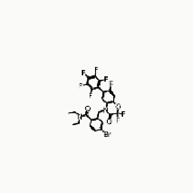 CCN(CC)C(=O)c1ccc(Br)cc1CN1C(=O)C(F)(F)Oc2cc(F)c(-c3c(F)c(F)c(F)c(F)c3F)cc21